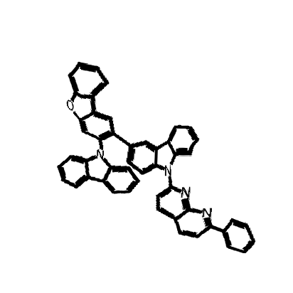 c1ccc(-c2ccc3ccc(-n4c5ccccc5c5cc(-c6cc7c(cc6-n6c8ccccc8c8ccccc86)oc6ccccc67)ccc54)nc3n2)cc1